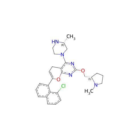 C[C@@H]1CN(c2nc(OC[C@@H]3CCCN3C)nc3c2CC=C(c2cccc4cccc(Cl)c24)O3)CCN1